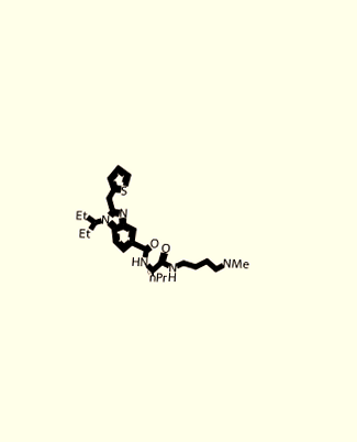 CCC[C@H](NC(=O)c1ccc2c(c1)nc(Cc1cccs1)n2C(CC)CC)C(=O)NCCCCNC